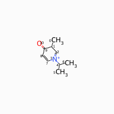 CC1C=[N+](C(C)C)C=CC1=O